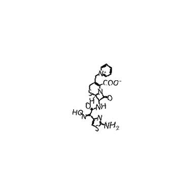 Nc1nc(/C(=N/O)C(=O)NC2C(=O)N3C(C(=O)[O-])=C(C[n+]4ccccc4)CS[C@H]23)cs1